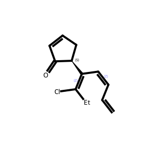 C=C/C=C\C(=C(\Cl)CC)[C@@H]1CC=CC1=O